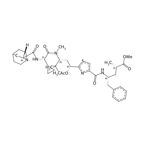 C=C(C)[C@@H](C[C@@H](OC(C)=O)c1nc(C(=O)N[C@@H](Cc2ccccc2)C[C@H](C)C(=O)OC)cs1)N(C)C(=O)[C@@H](NC(=O)[C@H]1CC2CCN1CC2)C1CC1